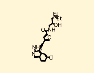 CCN(CC)CC(O)CNC(=O)c1cc(C#Cc2c(N)ncc3ccc(Cl)cc23)co1